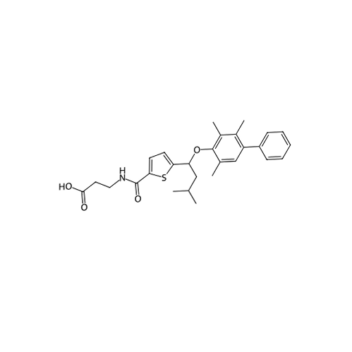 Cc1cc(-c2ccccc2)c(C)c(C)c1OC(CC(C)C)c1ccc(C(=O)NCCC(=O)O)s1